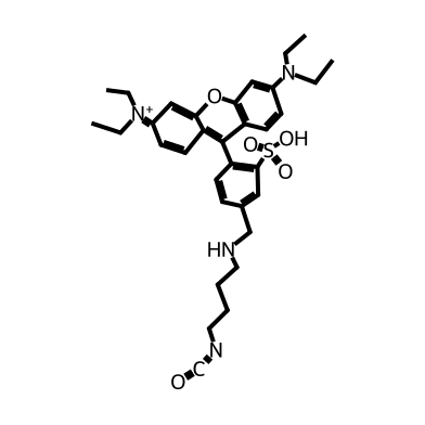 CCN(CC)c1ccc2c(-c3ccc(CNCCCCN=C=O)cc3S(=O)(=O)O)c3ccc(=[N+](CC)CC)cc-3oc2c1